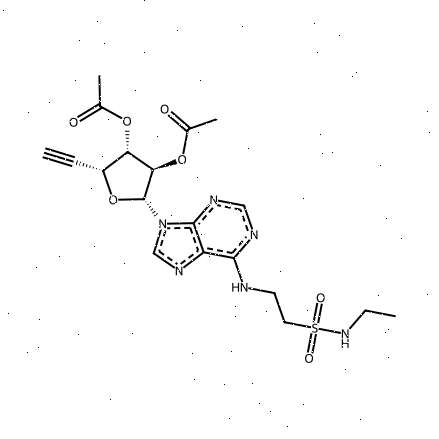 C#C[C@H]1O[C@@H](n2cnc3c(NCCS(=O)(=O)NCC)ncnc32)[C@H](OC(C)=O)[C@H]1OC(C)=O